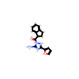 Nc1nc(-c2ccco2)nn1C(=O)C1CCc2ccccc21